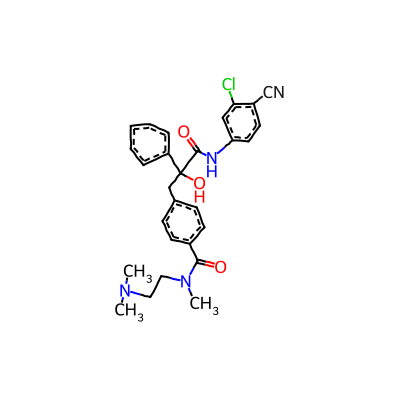 CN(C)CCN(C)C(=O)c1ccc(CC(O)(C(=O)Nc2ccc(C#N)c(Cl)c2)c2ccccc2)cc1